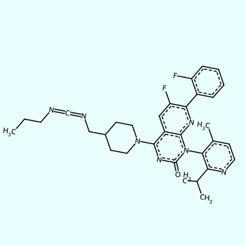 CCCN=C=NCC1CCN(c2nc(=O)n(-c3c(C)ccnc3C(C)C)c3nc(-c4ccccc4F)c(F)cc23)CC1